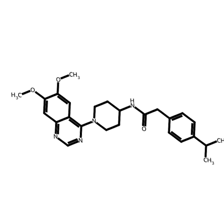 COc1cc2ncnc(N3CCC(NC(=O)Cc4ccc(C(C)C)cc4)CC3)c2cc1OC